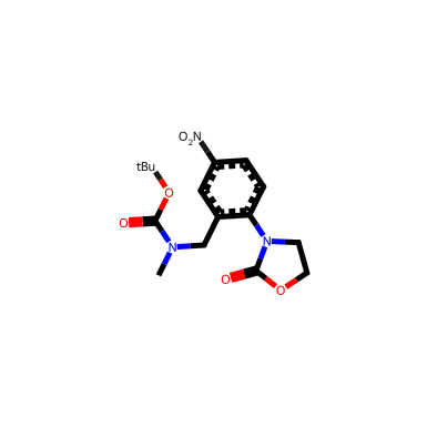 CN(Cc1cc([N+](=O)[O-])ccc1N1CCOC1=O)C(=O)OC(C)(C)C